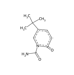 CC(C)(C)c1c[c]c(=O)n(C(N)=O)c1